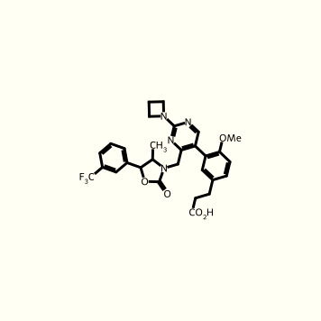 COc1ccc(CCC(=O)O)cc1-c1cnc(N2CCC2)nc1CN1C(=O)OC(c2cccc(C(F)(F)F)c2)C1C